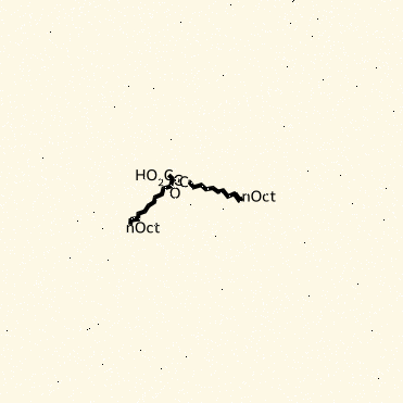 CCCCCCCCC=CCCCCCCCCCCC(C(=O)O)C(=O)CCCCCCCC=CCCCCCCCC